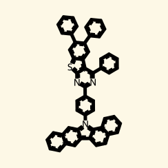 c1ccc(-c2cc3sc4nc(-c5ccc(-n6c7cc8ccccc8cc7c7ccc8ccccc8c76)cc5)nc(-c5ccccc5)c4c3cc2-c2ccccc2)cc1